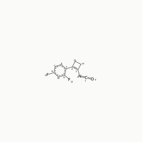 O=C=NC1=C(c2ccc(F)cc2F)CC1